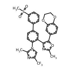 Cc1nc(-c2cc(-c3cccc(S(C)(=O)=O)c3)ccc2-n2cc(C(F)(F)F)nc2C)c(-c2ccc3c(c2)OCCO3)o1